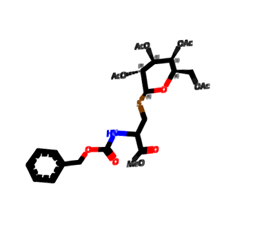 COC(=O)C(CS[C@@H]1O[C@H](COC(C)=O)[C@H](OC(C)=O)[C@H](OC(C)=O)[C@H]1OC(C)=O)NC(=O)OCc1ccccc1